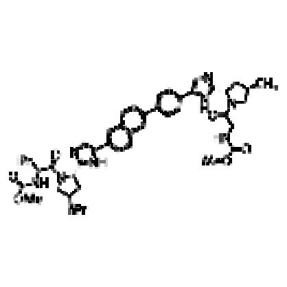 CCC[C@@H]1C[C@@H](c2ncc(-c3ccc4cc(-c5ccc(-c6cnc([C@@H]7C[C@@H](C)CN7C(=O)CNC(=O)OC)[nH]6)cc5)ccc4c3)[nH]2)N(C(=O)[C@@H](NC(=O)OC)C(C)C)C1